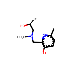 CC[C@H](O)CN(Cc1nc(C)ccc1O)C(=O)O